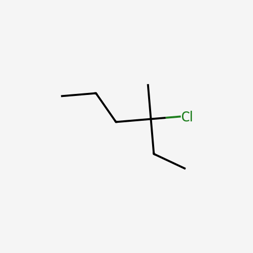 CCCC(C)(Cl)CC